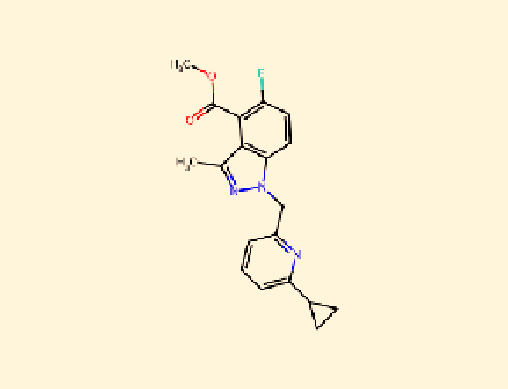 COC(=O)c1c(F)ccc2c1c(C)nn2Cc1cccc(C2CC2)n1